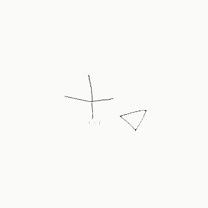 C1CC1.CC(C)(C)O